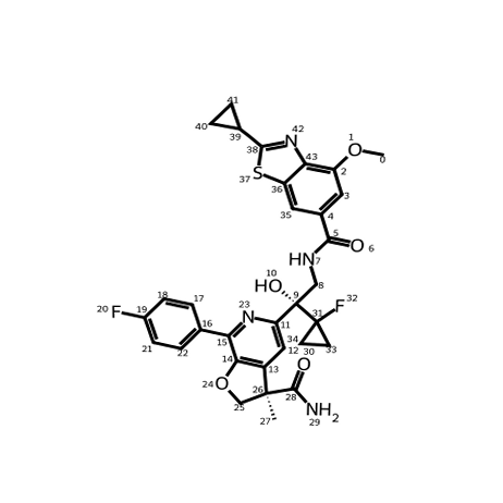 COc1cc(C(=O)NC[C@](O)(c2cc3c(c(-c4ccc(F)cc4)n2)OC[C@]3(C)C(N)=O)C2(F)CC2)cc2sc(C3CC3)nc12